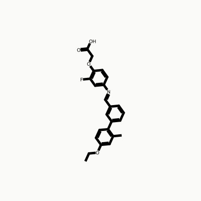 CCOc1ccc(-c2cccc(/C=N/c3ccc(OCC(=O)O)c(F)c3)c2)c(C)c1